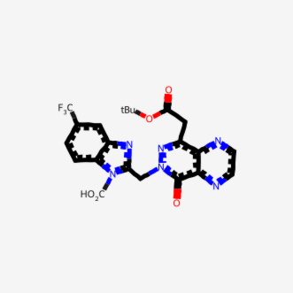 CC(C)(C)OC(=O)Cc1nn(Cc2nc3cc(C(F)(F)F)ccc3n2C(=O)O)c(=O)c2nccnc12